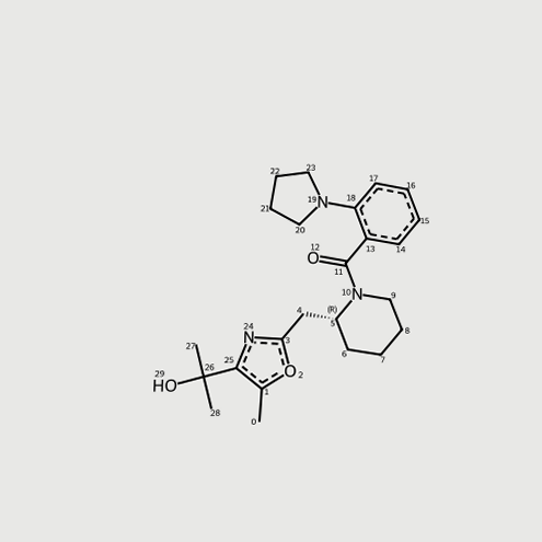 Cc1oc(C[C@H]2CCCCN2C(=O)c2ccccc2N2CCCC2)nc1C(C)(C)O